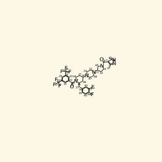 Cc1nnsc1C(=O)N1CCC(N2CCN(C3CCN(C(=O)c4cc(C(F)(F)F)cc(C(F)(F)F)c4)C(Cc4ccc(F)c(F)c4)C3)CC2)C1